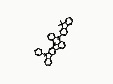 CC1(C)c2ccccc2-c2ccc(N3c4ccccc4-n4c5cc6c(cc5c5cccc3c54)c3ccccc3n6-c3ccccc3)cc21